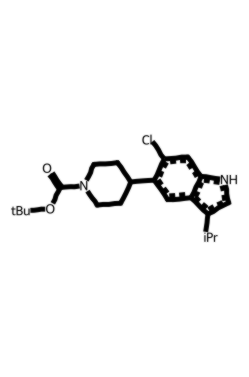 CC(C)c1c[nH]c2cc(Cl)c(C3CCN(C(=O)OC(C)(C)C)CC3)cc12